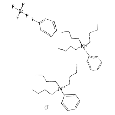 CCCC[N+](CCCC)(CCCC)c1ccccc1.CCCC[N+](CCCC)(CCCC)c1ccccc1.F[B-](F)(F)F.Ic1ccccc1.[Cl-]